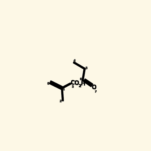 C=C(C)C(=O)O.CCC=O